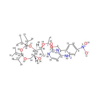 CC(OCCc1ccc([N+](=O)[O-])cc1)O[C@@H]1[C@@H]2O[Si](C(C)C)(C(C)C)O[Si](C(C)C)(C(C)C)OC[C@H]2O[C@H]1n1ccc(N)nc1=O